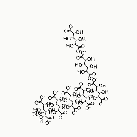 O=C([O-])[C@@H](O)[C@@H](O)[C@H](O)[C@@H](O)C(=O)[O-].O=C([O-])[C@@H](O)[C@@H](O)[C@H](O)[C@@H](O)C(=O)[O-].O=C([O-])[C@@H](O)[C@@H](O)[C@H](O)[C@@H](O)C(=O)[O-].O=C([O-])[C@@H](O)[C@@H](O)[C@H](O)[C@@H](O)C(=O)[O-].O=C([O-])[C@@H](O)[C@@H](O)[C@H](O)[C@@H](O)C(=O)[O-].O=C([O-])[C@@H](O)[C@@H](O)[C@H](O)[C@@H](O)C(=O)[O-].O=C([O-])[C@@H](O)[C@@H](O)[C@H](O)[C@@H](O)C(=O)[O-].[Tc+7].[Tc+7]